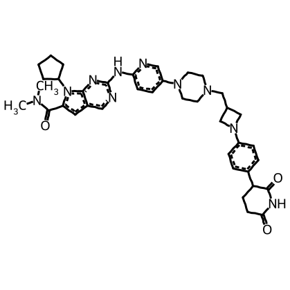 CN(C)C(=O)c1cc2cnc(Nc3ccc(N4CCN(CC5CN(c6ccc(C7CCC(=O)NC7=O)cc6)C5)CC4)cn3)nc2n1C1CCCC1